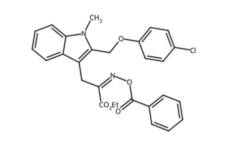 CCOC(=O)C(Cc1c(COc2ccc(Cl)cc2)n(C)c2ccccc12)=NOC(=O)c1ccccc1